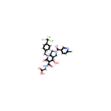 Cc1ccc(C(=O)N2Cc3c(O)c(C(=O)NCC(=O)O)c(=O)n(Cc4ccc(C(F)(F)F)cc4)c3C2)cn1